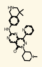 CN1CCCC(n2nc(-c3ccccn3)c3nc(Nc4ccc5c(c4)CNCC5(C)C)ncc3c2=O)C1